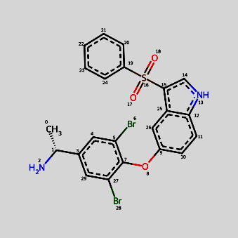 C[C@@H](N)c1cc(Br)c(Oc2ccc3[nH]cc(S(=O)(=O)c4ccccc4)c3c2)c(Br)c1